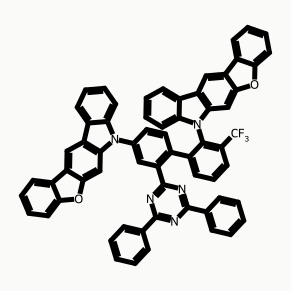 FC(F)(F)c1cccc(-c2ccc(-n3c4ccccc4c4cc5c(cc43)oc3ccccc35)cc2-c2nc(-c3ccccc3)nc(-c3ccccc3)n2)c1-n1c2ccccc2c2cc3c(cc21)oc1ccccc13